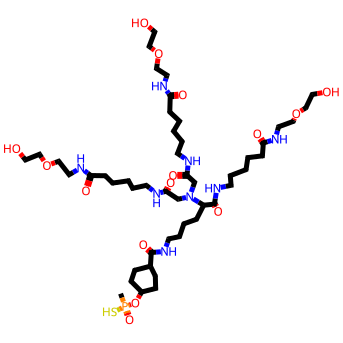 CP(=O)(S)OC1CCC(C(=O)NCCCCC(C(=O)NCCCCCC(=O)NCCOCCO)N(CC(=O)NCCCCCC(=O)NCCOCCO)CC(=O)NCCCCCC(=O)NCCOCCO)CC1